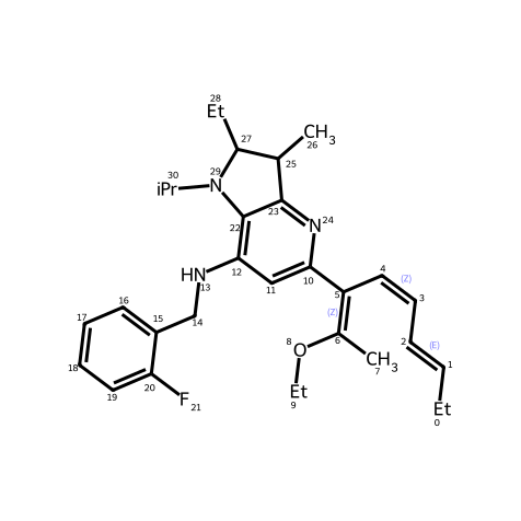 CC/C=C/C=C\C(=C(/C)OCC)c1cc(NCc2ccccc2F)c2c(n1)C(C)C(CC)N2C(C)C